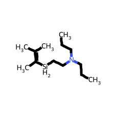 CCCN(CCC)CC[SiH2]C(C)=C(C)C